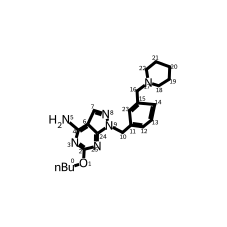 CCCCOc1nc(N)c2cnn(Cc3cccc(CN4CCCCC4)c3)c2n1